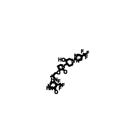 C[C@@H](CO[C@@H]1CCN([C@@H]2CCN(c3ncc(C(F)(F)F)cn3)C[C@H]2O)C1=O)Nc1cn[nH]c(=O)c1C(F)(F)F